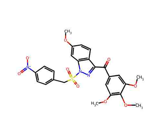 COc1ccc2c(C(=O)c3cc(OC)c(OC)c(OC)c3)nn(S(=O)(=O)Cc3ccc([N+](=O)[O-])cc3)c2c1